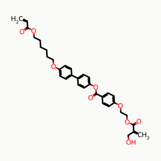 C=CC(=O)OCCCCCCOc1ccc(-c2ccc(OC(=O)c3ccc(OCCOC(=O)C(=C)CO)cc3)cc2)cc1